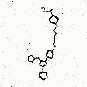 N=C(NO)c1ccc(OCCCCCOc2ccc(-c3nc(-c4cccnc4)sc3CC3CCCC3)cc2)cc1